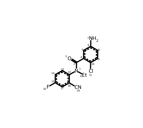 CCN(C(=O)c1cc(N)ccc1Cl)c1ccc(F)cc1C#N